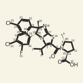 CC(C)C1=C(C(=O)N2[C@H](C)CC[C@H]2C(=O)O)SC2=N[C@@](C)(c3ccc(Cl)cn3)[C@@H](c3ccc(Cl)c(F)c3)N21